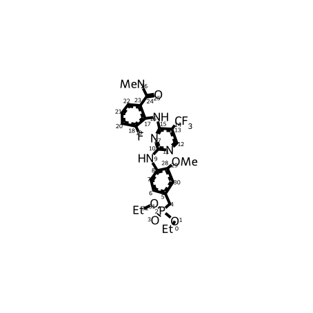 CCOP(=O)(Cc1ccc(Nc2ncc(C(F)(F)F)c(Nc3c(F)cccc3C(=O)NC)n2)c(OC)c1)OCC